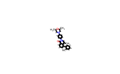 Cc1cn(-c2ccc(N3C[C@@H](C)O[C@@H](C)C3)cc2)c(=O)c2cccc(-c3ccccc3C#N)c12